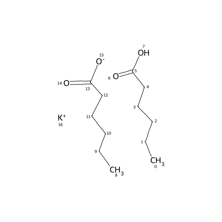 CCCCCC(=O)O.CCCCCC(=O)[O-].[K+]